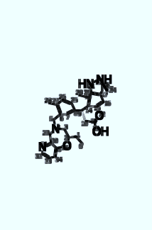 CC[C@@H]1CN(Cc2cc([C@@H](CC(=O)O)c3ccc4c(c3C)NNN4C)ccc2C)Cc2ncccc2O1